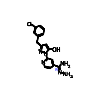 N/N=C(\N)c1ccnc(-n2nc(Cc3cccc(Cl)c3)cc2O)c1